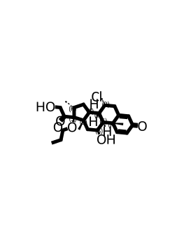 CCC(=O)O[C@@]1(C(=O)CO)[C@H](C)C[C@H]2[C@H]3[C@H]([C@@H](O)C[C@@]21C)[C@@]1(C)C=CC(=O)C=C1C[C@H]3Cl